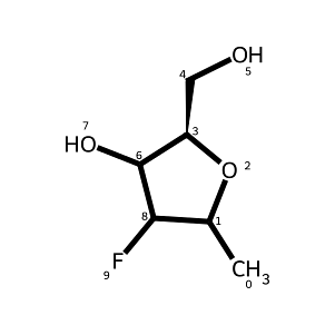 CC1O[C@H](CO)C(O)C1F